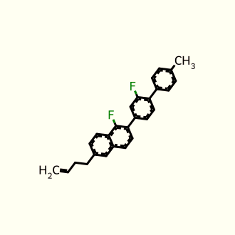 C=CCCc1ccc2c(F)c(-c3ccc(-c4ccc(C)cc4)c(F)c3)ccc2c1